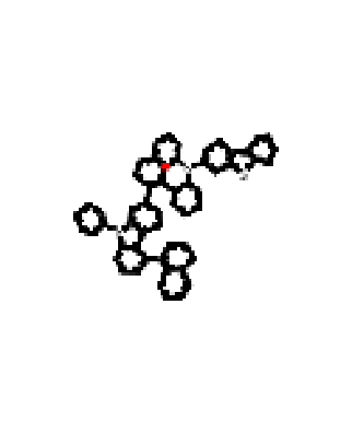 c1ccc(N(c2ccc3c(c2)sc2ccccc23)c2ccccc2-c2ccccc2-c2ccc3c4c(-c5cccc6ccccc56)cccc4n(-c4ccccc4)c3c2)cc1